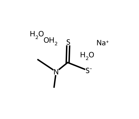 CN(C)C(=S)[S-].O.O.O.[Na+]